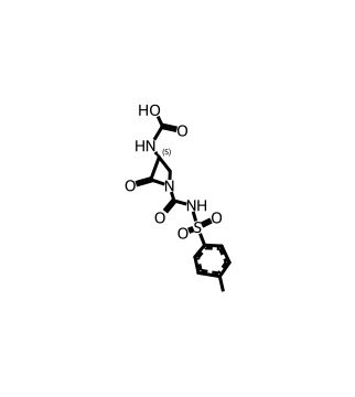 Cc1ccc(S(=O)(=O)NC(=O)N2C[C@H](NC(=O)O)C2=O)cc1